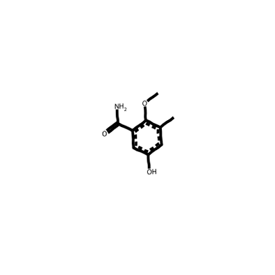 COc1c(C)cc(O)cc1C(N)=O